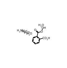 O.O.O.O.O=C(O)c1ccccc1C(=O)OO.[MgH2]